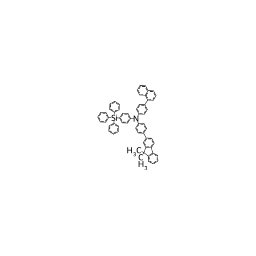 CC1(C)c2ccccc2-c2ccc(-c3ccc(N(c4ccc(-c5cccc6ccccc56)cc4)c4ccc([Si](c5ccccc5)(c5ccccc5)c5ccccc5)cc4)cc3)cc21